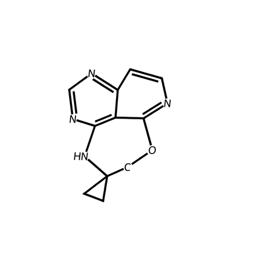 c1cc2ncnc3c2c(n1)OCC1(CC1)N3